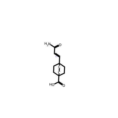 NC(=O)/C=C/C12CCC(C(=O)O)(CC1)CC2